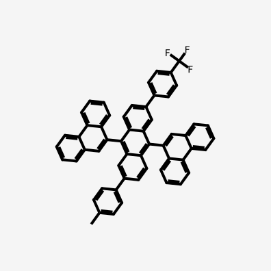 Cc1ccc(-c2ccc3c(-c4cc5ccccc5c5ccccc45)c4cc(-c5ccc(C(F)(F)F)cc5)ccc4c(-c4cc5ccccc5c5ccccc45)c3c2)cc1